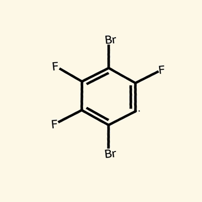 Fc1[c]c(Br)c(F)c(F)c1Br